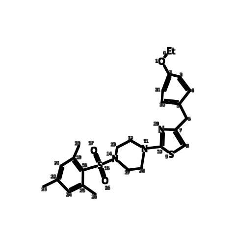 CCOc1ccc(Cc2csc(N3CCN(S(=O)(=O)c4c(C)cc(C)cc4C)CC3)n2)cc1